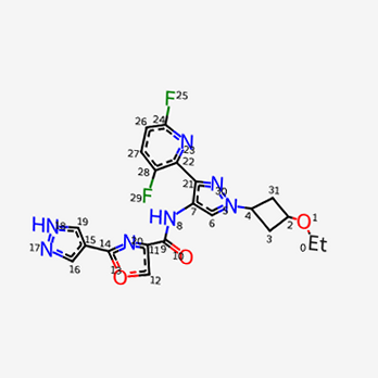 CCOC1CC(n2cc(NC(=O)c3coc(-c4cn[nH]c4)n3)c(-c3nc(F)ccc3F)n2)C1